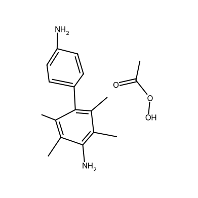 CC(=O)OO.Cc1c(C)c(-c2ccc(N)cc2)c(C)c(C)c1N